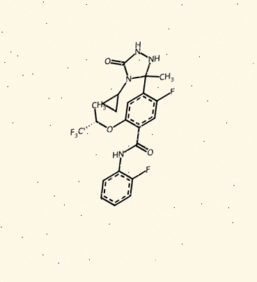 C[C@H](Oc1cc(C2(C)NNC(=O)N2C2CC2)c(F)cc1C(=O)Nc1ccccc1F)C(F)(F)F